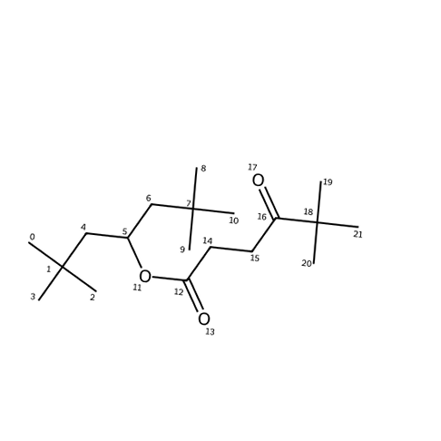 CC(C)(C)CC(CC(C)(C)C)OC(=O)CCC(=O)C(C)(C)C